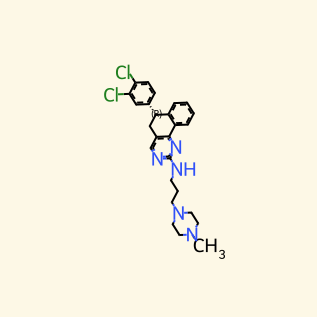 CN1CCN(CCCNc2ncc3c(n2)-c2ccccc2[C@@H](c2ccc(Cl)c(Cl)c2)C3)CC1